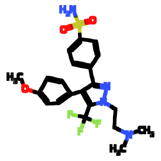 COc1ccc(-c2c(-c3ccc(S(N)(=O)=O)cc3)nn(CCN(C)C)c2C(F)(F)F)cc1